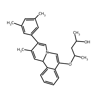 CC1=CC2c3ccccc3C(OC(C)CC(C)O)=CN2C=C1c1cc(C)cc(C)c1